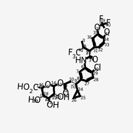 C[C@H]([C@H](C(=O)Nc1cc([C@@H](CC(=O)OC2O[C@H](C(=O)O)[C@@H](O)[C@H](O)[C@H]2O)C2CC2)ccc1Cl)c1ccc2c(c1)OC(F)(F)O2)C(F)(F)F